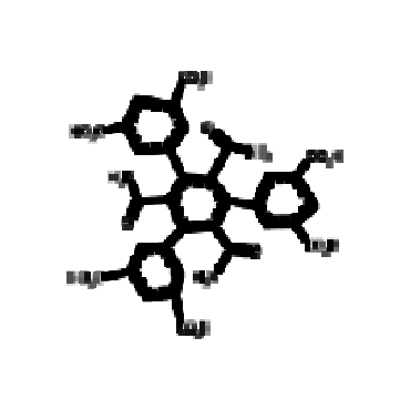 NC(=O)c1c(-c2cc(C(=O)O)cc(C(=O)O)c2)c(C(N)=O)c(-c2cc(C(=O)O)cc(C(=O)O)c2)c(C(N)=O)c1-c1cc(C(=O)O)cc(C(=O)O)c1